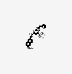 COc1ccc2cc(/C=N/Nc3cc(N(C)C)n4nc(Cc5cccs5)nc4n3)ccc2c1